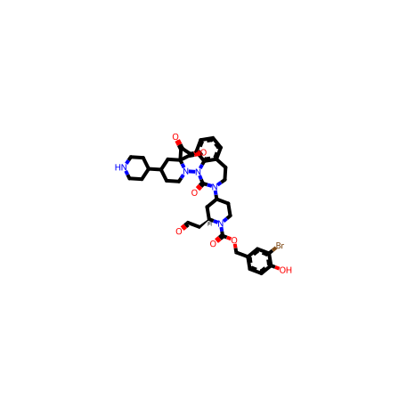 O=CC[C@H]1CC(N2CCc3ccccc3N(N3CCC(C4CCNCC4)CC34C(=O)C4=O)C2=O)CCN1C(=O)OCc1ccc(O)c(Br)c1